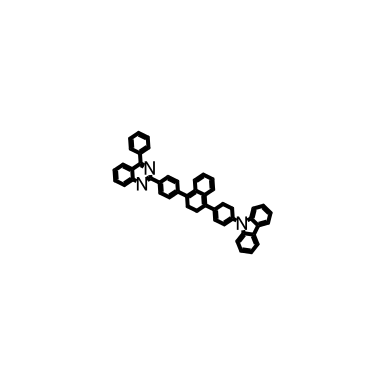 C1=C(C2=c3ccccc3=C(c3ccc(-c4nc(-c5ccccc5)c5ccccc5n4)cc3)CC2)CCC(n2c3ccccc3c3ccccc32)=C1